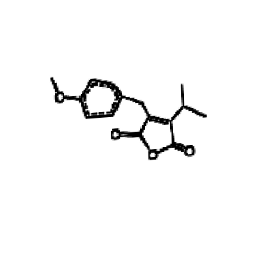 COc1ccc(CC2=C(C(C)C)C(=O)OC2=O)cc1